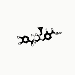 CNC(=O)c1ccc(C[C@@H](CNC(=O)c2ccc(Cl)c(Cl)c2)N(C)CC2CC2)cc1F